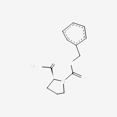 C=C(OC)[C@@H]1CCCN1C(=O)OCc1ccccc1